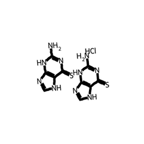 Cl.Nc1nc(=S)c2[nH]cnc2[nH]1.Nc1nc(=S)c2[nH]cnc2[nH]1